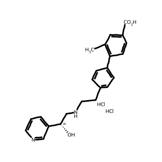 Cc1cc(C(=O)O)ccc1-c1ccc(CCNC[C@H](O)c2cccnc2)cc1.Cl.Cl